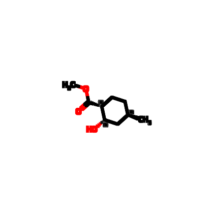 COC(=O)[C@@H]1CC[C@@H](C)C[C@@H]1O